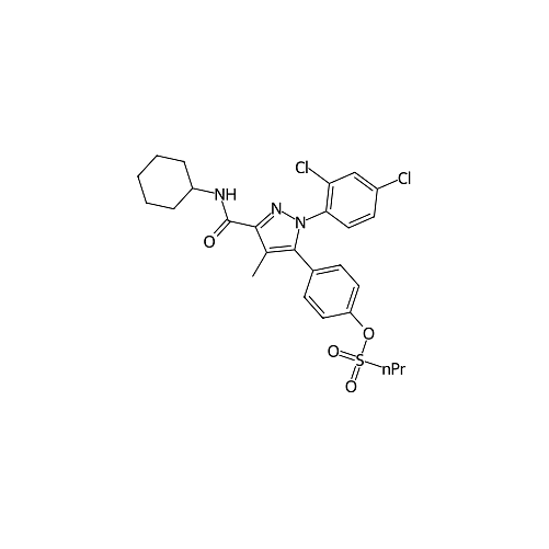 CCCS(=O)(=O)Oc1ccc(-c2c(C)c(C(=O)NC3CCCCC3)nn2-c2ccc(Cl)cc2Cl)cc1